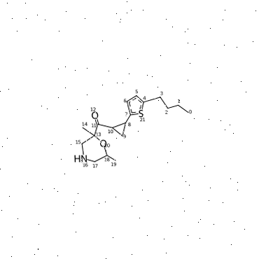 CCCCc1ccc(C2CC2C(=O)C2(C)CNCC(C)O2)s1